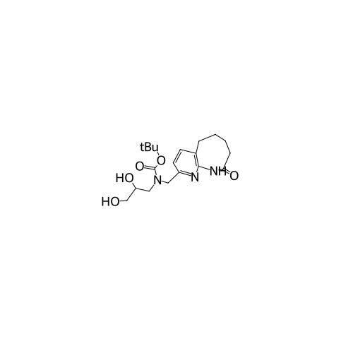 CC(C)(C)OC(=O)N(Cc1ccc2c(n1)NC(=O)CCCC2)CC(O)CO